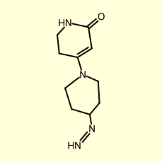 N=NC1CCN(C2=CC(=O)NCC2)CC1